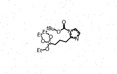 CCO[Si](CCCc1nccn1C(=O)OC(C)(C)C)(OCC)OCC